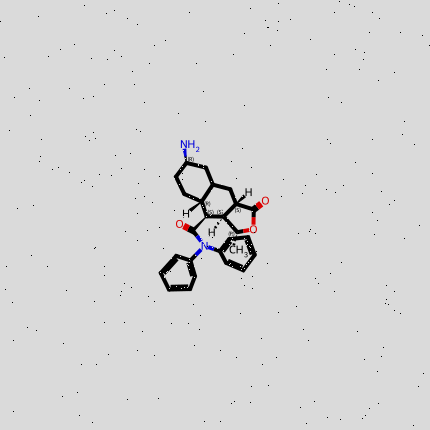 C[C@H]1OC(=O)[C@H]2CC3C[C@H](N)CC[C@H]3[C@H](C(=O)N(c3ccccc3)c3ccccc3)[C@@H]21